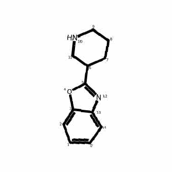 c1ccc2oc(C3CCCNC3)nc2c1